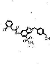 NS(=O)(=O)c1cc(NC(=O)Cc2ccccc2Cl)cc2nn(Cc3ccc(CO)cc3)cc12